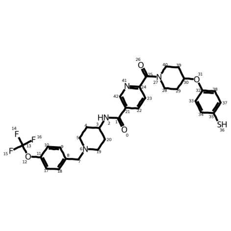 O=C(NC1CCN(Cc2ccc(OC(F)(F)F)cc2)CC1)c1ccc(C(=O)N2CCC(Oc3ccc(S)cc3)CC2)nc1